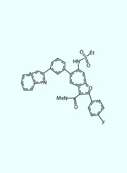 CCS(=O)(=O)Nc1cc2oc(-c3ccc(F)cc3)c(C(=O)NC)c2cc1-c1cccc(-c2cn3ccccc3n2)c1